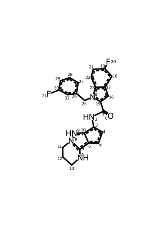 O=C(Nc1ccc2c3n([nH]c1-2)CCCN3)c1cc2cc(F)ccc2n1Cc1cccc(F)c1